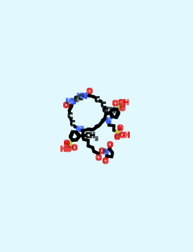 CC1(CCCCCC(=O)ON2C(=O)CCC2=O)C2=[N+](CCCCCC(=O)NCCNC(=O)CCCCCC3(C)/C(=C/C=C/C=C/2)N(CCCS(=O)(=O)O)c2ccc(S(=O)(=O)O)cc23)c2ccc(S(=O)(=O)O)cc21